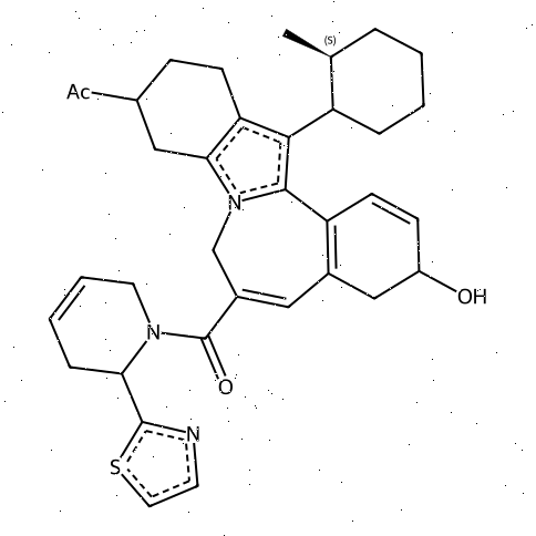 CC(=O)C1CCc2c(C3CCCC[C@@H]3C)c3n(c2C1)CC(C(=O)N1CC=CCC1c1nccs1)=CC1=C3C=CC(O)C1